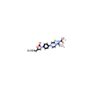 CC(=O)NCC1CN(c2ccc(N3CCN(C(NC(=O)C(F)(F)F)C(Cl)(Cl)Cl)C(F)C3)cc2)C(=O)O1